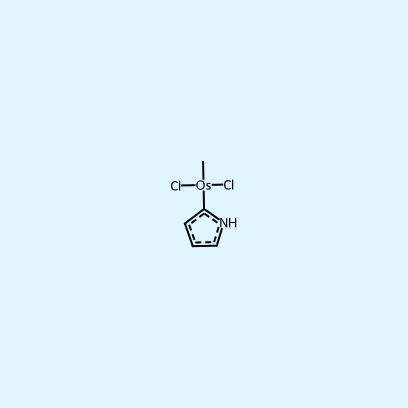 [CH3][Os]([Cl])([Cl])[c]1ccc[nH]1